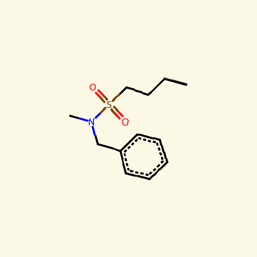 CCCCS(=O)(=O)N(C)Cc1ccccc1